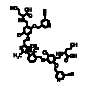 Cc1c(COc2cc(OCc3cncc(C#N)c3)c(CNC(CCO)C(=O)O)cc2Cl)cccc1-n1c(C)nc(COc2cc(OCc3cncc(C#N)c3)c(CNC(CCO)C(=O)O)cc2Cl)c1C